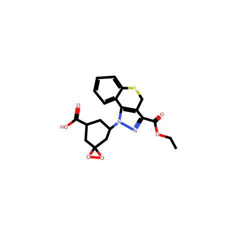 CCOC(=O)c1nn(C2CC(C(=O)O)CC3(C2)OO3)c2c1CSc1ccccc1-2